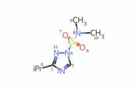 CC(C)c1ncn(S(=O)(=O)N(C)C)n1